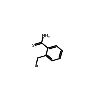 NC(=S)c1ccccc1CBr